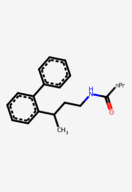 CCCC(=O)NCCC(C)c1ccccc1-c1ccccc1